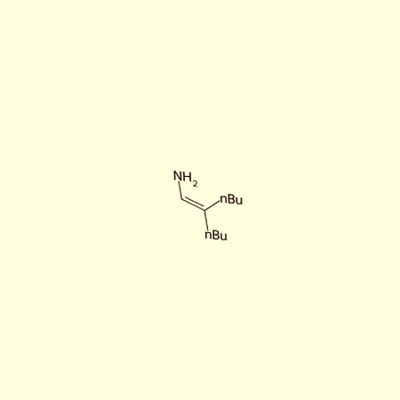 CCCCC(=CN)CCCC